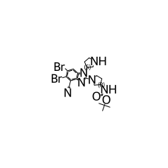 CC(C)(C)OC(=O)N[C@@H]1CCN(c2nc3c(C#N)c(Br)c(Br)cc3n2[C@H]2CCNC2)C1